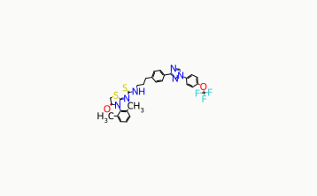 Cc1cccc(C)c1N1C(=O)CS/C1=N\C(=S)NCCCc1ccc(-c2ncn(-c3ccc(OC(F)(F)F)cc3)n2)cc1